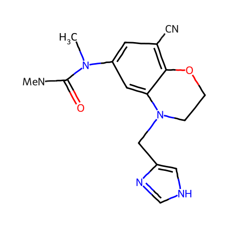 CNC(=O)N(C)c1cc(C#N)c2c(c1)N(Cc1c[nH]cn1)CCO2